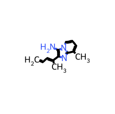 C=C/C=C(\C)c1nc2c(C)cccn2c1N